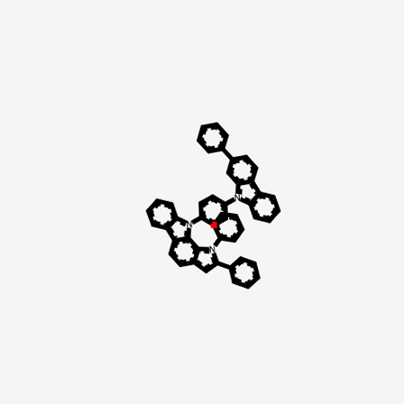 c1ccc(-c2ccc3c4ccccc4n(-c4ccc(-n5c6ccccc6c6ccc7cc(-c8ccccc8)n(-c8ccccc8)c7c65)cc4)c3c2)cc1